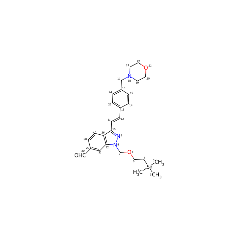 C[Si](C)(C)CCOCn1nc(C=Cc2ccc(CN3CCOCC3)cc2)c2ccc(C=O)cc21